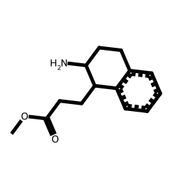 COC(=O)CCC1c2ccccc2CCC1N